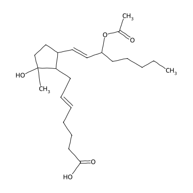 CCCCCC(C=CC1CCC(C)(O)C1CC=CCCCC(=O)O)OC(C)=O